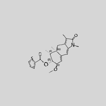 CO[C@@H]1C=C2C=C3C(=C(C)C(=O)N3C)C[C@]2(C)[C@@H](C)[C@H]1OC(=O)c1cccs1